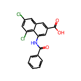 O=C(O)c1cc(NC(=O)c2ccccc2)c2c(Cl)cc(Cl)cc2c1